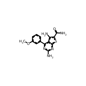 COc1cccc(-c2nc(N)nc3sc(C(N)=O)c(N)c23)c1